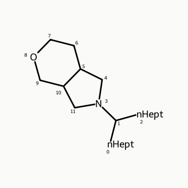 CCCCCCCC(CCCCCCC)N1CC2CCOCC2C1